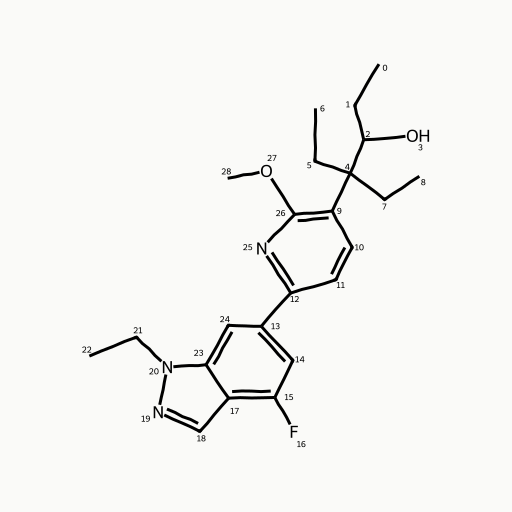 CCC(O)C(CC)(CC)c1ccc(-c2cc(F)c3cnn(CC)c3c2)nc1OC